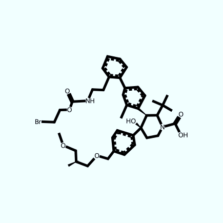 COC[C@H](C)COCc1ccc([C@@]2(O)CCN(C(=O)O)C(C(C)(C)C)[C@@H]2c2ccc(-c3ccccc3CCNC(=O)OCCBr)cc2C)cc1